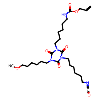 C=CCOC(=O)NCCCCCCn1c(=O)n(CCCCCCN=C=O)c(=O)n(CCCCCCOC#N)c1=O